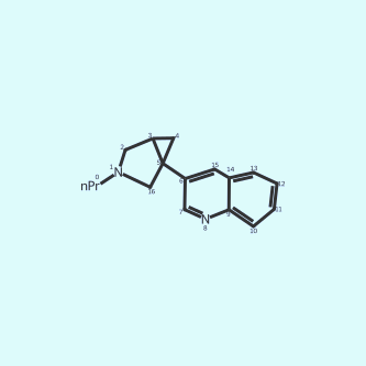 CCCN1CC2CC2(c2cnc3ccccc3c2)C1